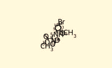 CCOC(=O)C(=CNc1ccc(Br)cc1OC)[N+](=O)[O-]